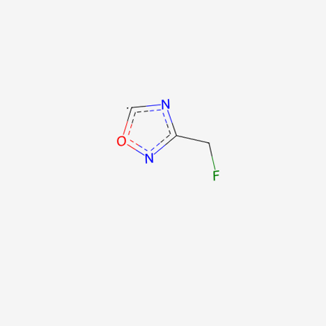 FCc1n[c]on1